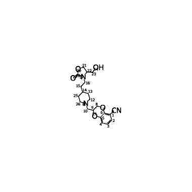 N#Cc1cccc2c1OCC(CN1CCC(CCN3C(=O)OCC3CO)CC1)O2